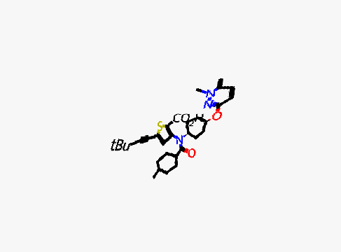 C=C1C=CC(O[C@H]2CC[C@@H](N(C(=O)C3CCC(C)CC3)c3cc(C#CC(C)(C)C)sc3C(=O)O)CC2)=NN1C